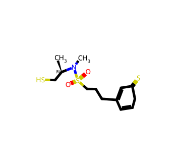 C[C@H](CS)N(C)S(=O)(=O)CCCC1=CC(=S)CC=C1